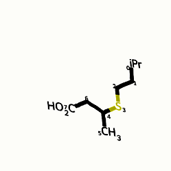 CC(C)CCSC(C)CC(=O)O